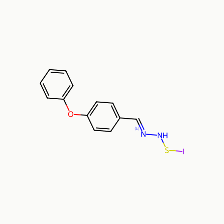 ISN/N=C/c1ccc(Oc2ccccc2)cc1